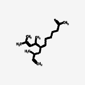 C=CC(C)CC(CCCCCC(C)=S)C(C)C=C(C)C